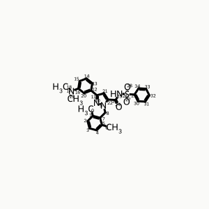 Cc1cccc(C)c1Cn1nc(-c2cccc(N(C)C)c2)cc1C(=O)NS(=O)(=O)c1ccccc1